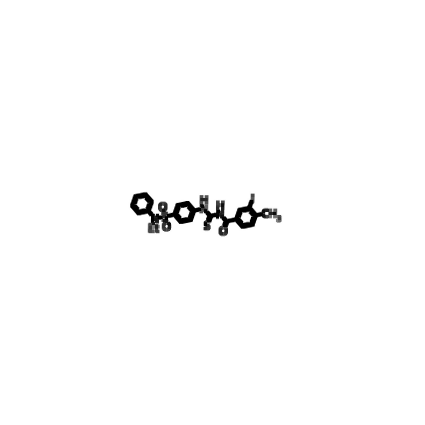 CCN(c1ccccc1)S(=O)(=O)c1ccc(NC(=S)NC(=O)c2ccc(C)c(I)c2)cc1